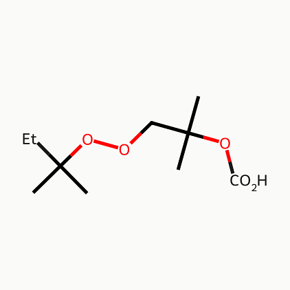 CCC(C)(C)OOCC(C)(C)OC(=O)O